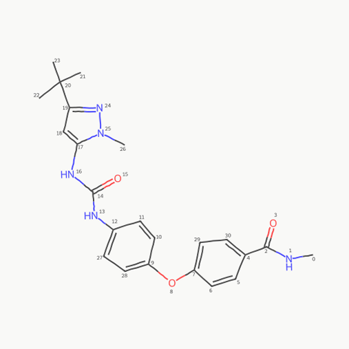 CNC(=O)c1ccc(Oc2ccc(NC(=O)Nc3cc(C(C)(C)C)nn3C)cc2)cc1